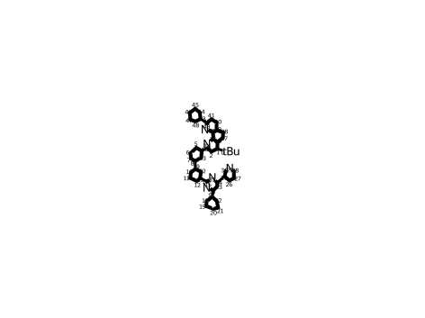 CC(C)(C)c1cc(-c2cccc(-c3cccc(-c4nc(-c5ccccc5)cc(-c5cccnc5)n4)c3)c2)nc2c1ccc1ccc(-c3ccccc3)nc12